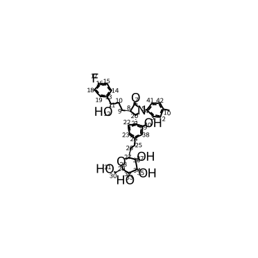 Cc1ccc(N2C(=O)[C@H](CC[C@H](O)c3ccc(F)cc3)[C@H]2c2ccc(CC[C@@H]3O[C@H](CO)[C@@H](O)[C@H](O)[C@H]3O)cc2O)cc1